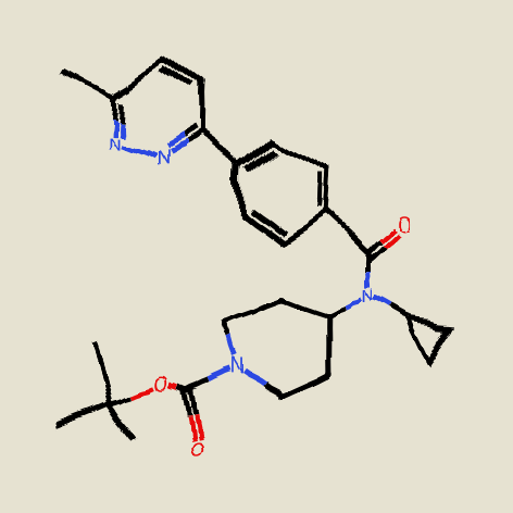 Cc1ccc(-c2ccc(C(=O)N(C3CC3)C3CCN(C(=O)OC(C)(C)C)CC3)cc2)nn1